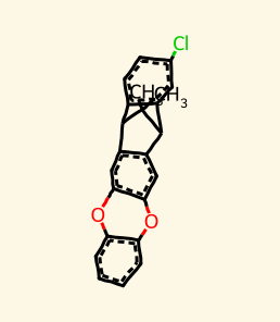 CC1(C)C2c3ccc(Cl)cc3C1c1cc3c(cc12)Oc1ccccc1O3